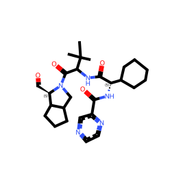 CC(C)(C)C(NC(=O)[C@@H](NC(=O)c1cnccn1)C1CCCCC1)C(=O)N1CC2CCCC2[C@H]1C=O